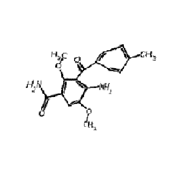 COc1cc(C(N)=O)c(OC)c(C(=O)c2ccc(C)cc2)c1N